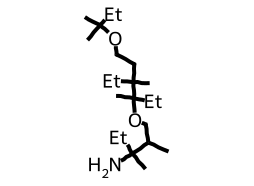 CCC(C)(C)OCCC(C)(CC)C(C)(CC)OCC(C)C(C)(N)CC